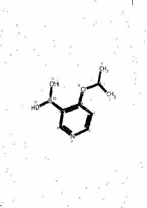 CC(C)Oc1ccncc1B(O)O